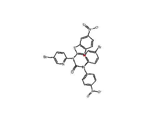 O=C(N(c1ccc([N+](=O)[O-])cc1)c1ccc(Br)cn1)N(c1ccc(Br)cn1)c1nc2ccc([N+](=O)[O-])cc2s1